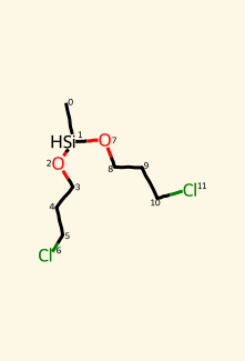 C[SiH](OCCCCl)OCCCCl